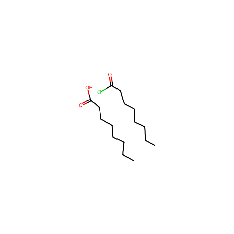 CCCCCCCC(=O)Cl.CCCCCCCC(=O)O